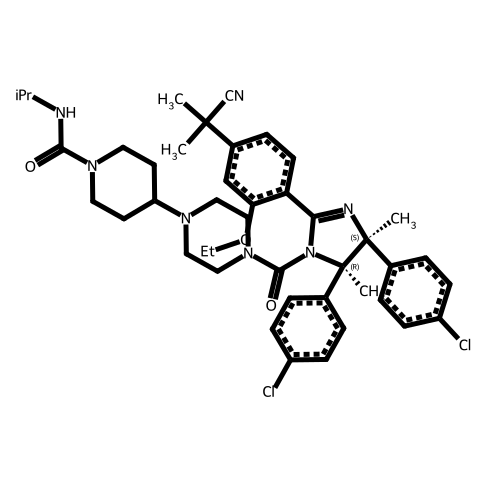 CCOc1cc(C(C)(C)C#N)ccc1C1=N[C@@](C)(c2ccc(Cl)cc2)[C@@](C)(c2ccc(Cl)cc2)N1C(=O)N1CCN(C2CCN(C(=O)NC(C)C)CC2)CC1